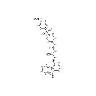 COc1ccc(S(=O)(=O)N2CCC(CNC[C@H](O)COc3cccc4c3-c3ccccc3C4=O)CC2)cc1